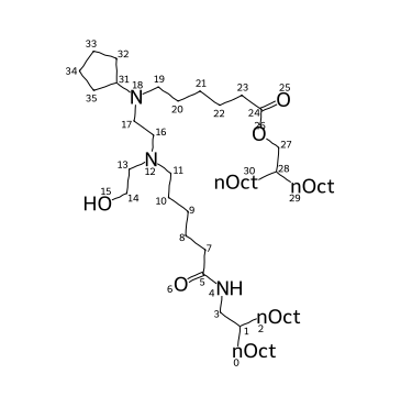 CCCCCCCCC(CCCCCCCC)CNC(=O)CCCCCN(CCO)CCN(CCCCCC(=O)OCC(CCCCCCCC)CCCCCCCC)C1CCCC1